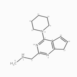 CBCc1nc2c(c(N3CCCCC3)n1)C=CC2